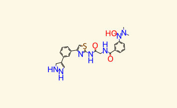 CN(C)N(O)c1cccc(C(=O)NCC(=O)Nc2nc(-c3cccc(C4=CNNC4)c3)cs2)c1